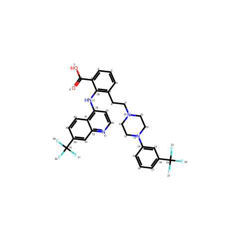 O=C(O)c1cccc(CCN2CCN(c3cccc(C(F)(F)F)c3)CC2)c1Nc1ccnc2cc(C(F)(F)F)ccc12